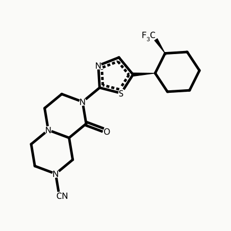 N#CN1CCN2CCN(c3ncc([C@@H]4CCCC[C@@H]4C(F)(F)F)s3)C(=O)C2C1